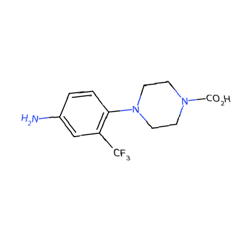 Nc1ccc(N2CCN(C(=O)O)CC2)c(C(F)(F)F)c1